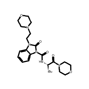 CC[C@H](C)[C@H](NC(=O)n1c(=O)n(CCN2CCOCC2)c2ccccc21)C(=O)N1CCOCC1